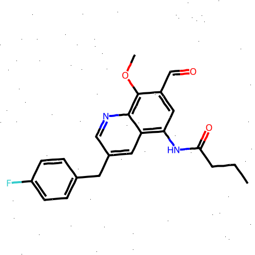 CCCC(=O)Nc1cc(C=O)c(OC)c2ncc(Cc3ccc(F)cc3)cc12